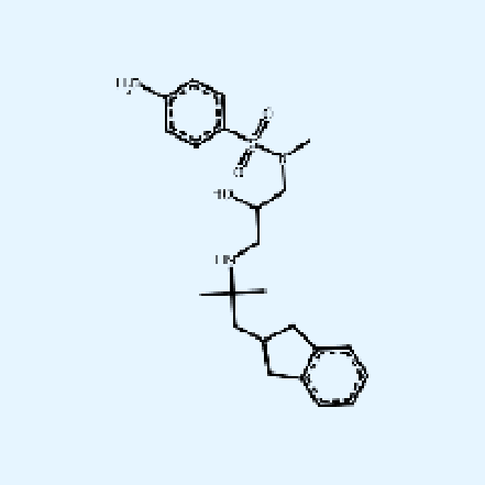 Bc1ccc(S(=O)(=O)N(C)CC(O)CNC(C)(C)CC2Cc3ccccc3C2)cc1